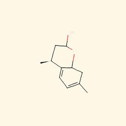 CC1=CC=C2C(C1)OC(O)C[C@@H]2C